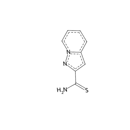 NC(=S)c1cc2ccccn2n1